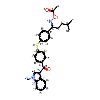 CC(=O)ON=C(CCC(C)C)c1ccc(Sc2ccc(C(=O)c3cn(C)c4ccccc34)cc2)cc1